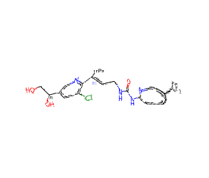 CCC/C(=C\CNC(=O)Nc1ccc(C(F)(F)F)cn1)c1ncc([C@@H](O)CO)cc1Cl